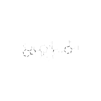 O=C(COc1ccc(Cl)c(F)c1)N[C@H]1CC[C@H](c2nc3c(Cl)cccc3o2)N(C(=O)O)C1